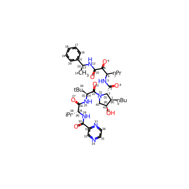 CCCC[C@@H]1[C@@H](C(=O)NC(CCC)C(=O)C(=O)N[C@@H](C)c2ccccc2)N(C(=O)[C@@H](NC(=O)[C@H](NC(=O)c2cnccn2)C(C)C)C(C)(C)C)C[C@@H]1O